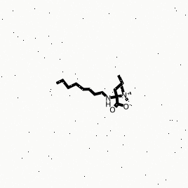 CCCCCCCCNC(CCC)(C(=O)[O-])[N+](C)(C)C